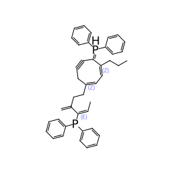 C=C(CC/C1=C/C=C(/CCC)C(=[PH](c2ccccc2)c2ccccc2)C#CC1)/C(=C\C)P(c1ccccc1)c1ccccc1